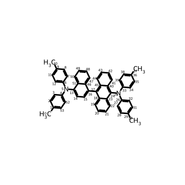 Cc1ccc(N(c2ccc(C)cc2)c2ccc(-c3c4ccccc4c(N(c4ccc(C)cc4)c4ccc(C)cc4)c4ccccc34)c3ccccc23)cc1